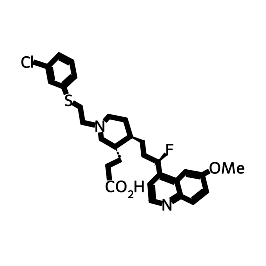 COc1ccc2nccc([C@H](F)CC[C@@H]3CCN(CCSc4cccc(Cl)c4)C[C@H]3CCC(=O)O)c2c1